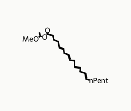 CCCCCC=CCC=CCC=CCC=CCCCC(=O)OC(C)OC